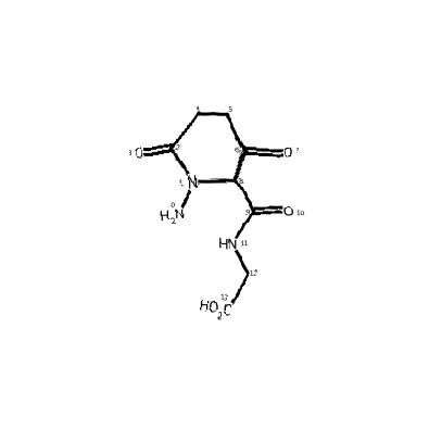 NN1C(=O)CCC(=O)C1C(=O)NCC(=O)O